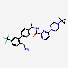 C[C@@H](NC(=O)c1nccc(N2CCN(C3(C)CC3)CC2)n1)c1ccc(-c2cc(C(F)(F)F)ccc2CN)cc1